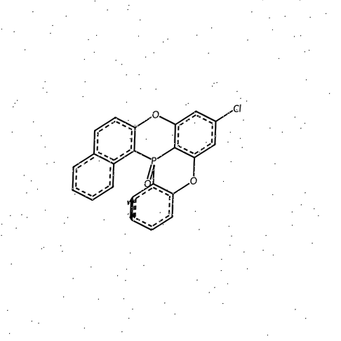 O=P12c3c(cc(Cl)cc3Oc3ccc4ccccc4c31)Oc1ccc3ccccc3c12